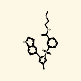 COCCNC(=O)c1cccc(S(=O)(=O)n2cc(C)cc2-c2ccc3[nH]ccc3c2)c1